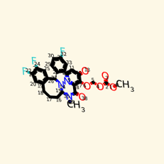 COC(=O)OCOc1c2n(ccc1=O)N1C(CCCc3cc(F)c(F)cc3[C@@H]1c1ccc(F)cc1)N(C)C2=O